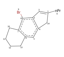 CCCC1=Cc2c(cc3c(c2Br)CCCC3)C1